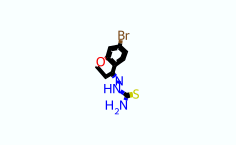 NC(=S)N/N=C1\CCOc2cc(Br)ccc21